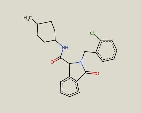 CC1CCC(NC(=O)C2c3ccccc3C(=O)N2Cc2ccccc2Cl)CC1